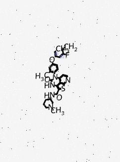 C=C/C(F)=C\C(=C/C)Oc1ccc(N2C(=O)Nc3c(C(=O)N[C@@H]4CCCN(C)C4)sc4nccc2c34)c(C)c1